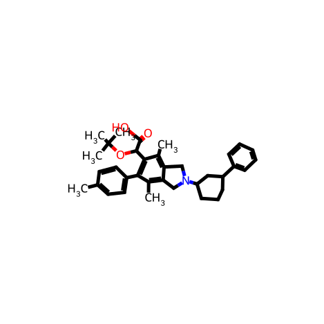 Cc1ccc(-c2c(C)c3c(c(C)c2C(OC(C)(C)C)C(=O)O)CN(C2CCCC(c4ccccc4)C2)C3)cc1